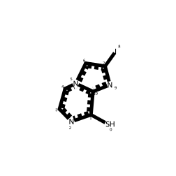 Sc1nccn2cc(I)nc12